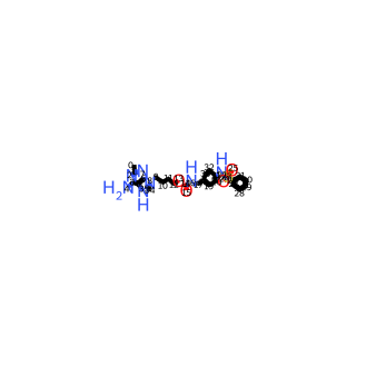 Cc1nc(N)c2c(n1)N(CCCCOC(=O)NCC1=CCC(NS(=O)(=O)c3ccccc3)C=C1)CN2